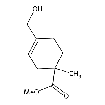 COC(=O)C1(C)CC=C(CO)CC1